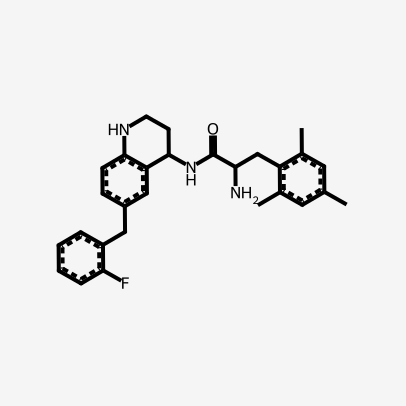 Cc1cc(C)c(CC(N)C(=O)NC2CCNc3ccc(Cc4ccccc4F)cc32)c(C)c1